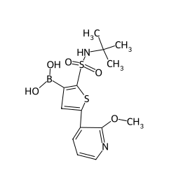 COc1ncccc1-c1cc(B(O)O)c(S(=O)(=O)NC(C)(C)C)s1